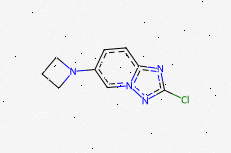 Clc1nc2ccc(N3CCC3)cn2n1